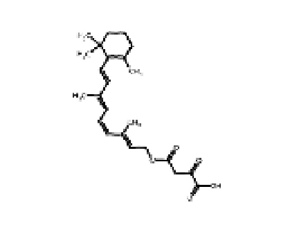 CC1=C(/C=C/C(C)=C/C=C\C(C)=C\COC(=O)CC(=O)C(=O)O)C(C)(C)CCC1